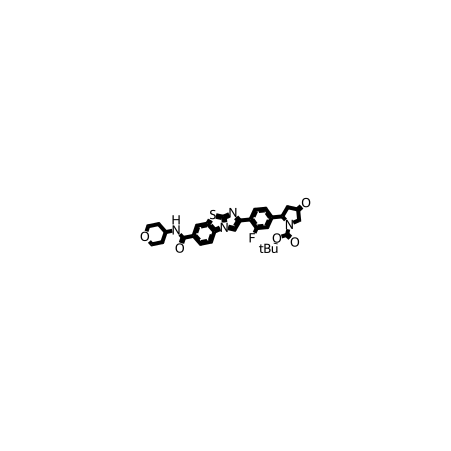 CC(C)(C)OC(=O)N1CC(=O)CC1c1ccc(-c2cn3c(n2)sc2cc(C(=O)NC4CCOCC4)ccc23)c(F)c1